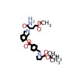 COC(=O)CCC(C(N)=O)N1Cc2cccc(OC(=O)c3ccc(CN4CCCC4C(=O)OC(C)(C)C)cc3)c2C1